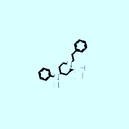 CC1(C)C[C@@H](Nc2ccccc2)CCN1CCc1ccccc1